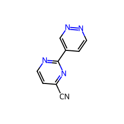 N#Cc1ccnc(-c2ccnnc2)n1